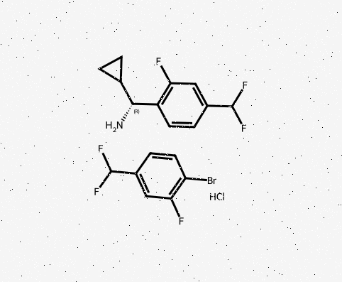 Cl.Fc1cc(C(F)F)ccc1Br.N[C@@H](c1ccc(C(F)F)cc1F)C1CC1